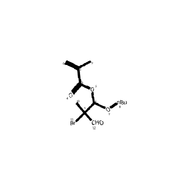 C=C(C)C(=O)OC(OCCCC)C(C)(Br)C=O